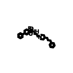 O=S(=O)(NCCCN1CCC(CCCc2ccccc2)CC1)C1(F)C=CC(c2ccccc2)=CC1